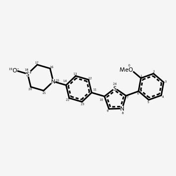 COc1ccccc1-c1ncc(-c2ccc(N3CC[S+]([O-])CC3)cc2)s1